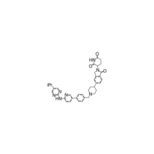 CC(C)c1cnc(Nc2ccc(-c3ccc(CN4CCC(c5ccc6c(c5)CN(C5CCC(=O)NC5=O)C6=O)CC4)cc3)cn2)nc1